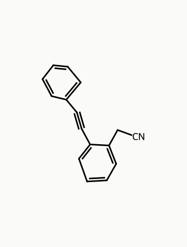 N#CCc1ccccc1C#Cc1ccccc1